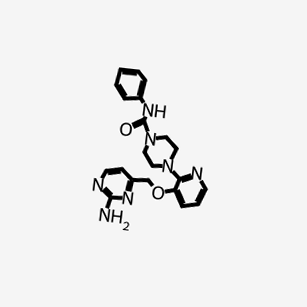 Nc1nccc(COc2cccnc2N2CCN(C(=O)Nc3ccccc3)CC2)n1